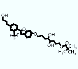 CC(C)(C)C(=O)OCCCC(O)C(O)CCCOc1ccc2cc(-c3ccc(CCCO)cc3C(F)(F)F)oc2c1